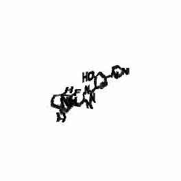 Oc1cc(-n2ccnc2)ccc1-c1ncc(/C=C2/C[C@@H]3CC[C@@H](N3)[C@H]2F)nn1